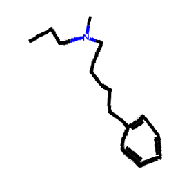 CCCN(C)CCCCc1ccccc1